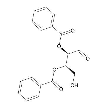 O=C[C@H](OC(=O)c1ccccc1)[C@@H](CO)OC(=O)c1ccccc1